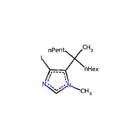 CCCCCCC(C)(CCCCC)c1c(I)ncn1C